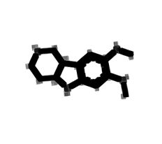 COc1cc2c(cc1OC)C1COCCC1O2